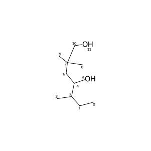 CCC(C)C(O)CC(C)(C)CO